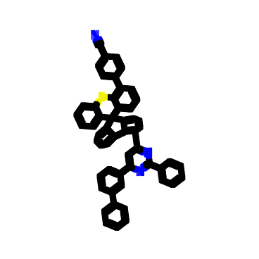 N#Cc1ccc(-c2cccc3c2Sc2ccccc2C32c3ccccc3-c3c(-c4cc(-c5cccc(-c6ccccc6)c5)nc(-c5ccccc5)n4)cccc32)cc1